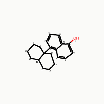 Oc1cccc2c(C34CCCCC3CCCC4)cccc12